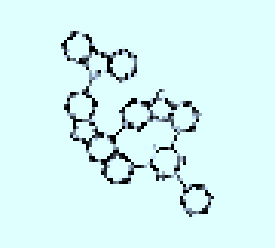 c1ccc(C2=NC(c3cccc4oc5ccc(-c6cccc7sc8ccc(-n9c%10ccccc%10c%10ccccc%109)cc8c67)cc5c34)NC(c3ccccc3)=N2)cc1